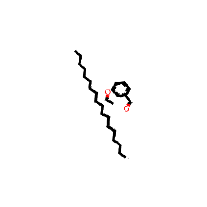 C[C]=O.O=[C]c1ccccc1.[CH2]CCCCCCCCCCCCCCCCC